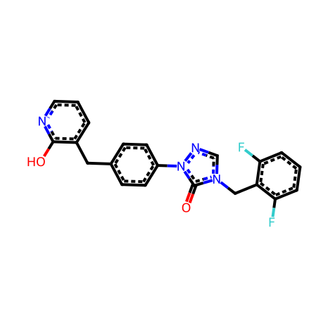 O=c1n(Cc2c(F)cccc2F)cnn1-c1ccc(Cc2cccnc2O)cc1